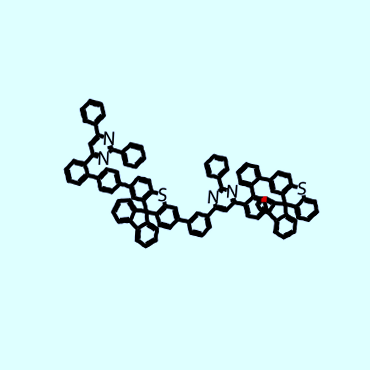 c1ccc(-c2cc(-c3ccccc3-c3ccc(-c4ccc5c(c4)C4(c6ccc(-c7cccc(-c8cc(-c9ccccc9-c9ccccc9-c9ccc%10c(c9)C9(c%11ccccc%11S%10)c%10ccccc%10-c%10ccccc%109)nc(-c9ccccc9)n8)c7)cc6S5)c5ccccc5-c5ccccc54)cc3)nc(-c3ccccc3)n2)cc1